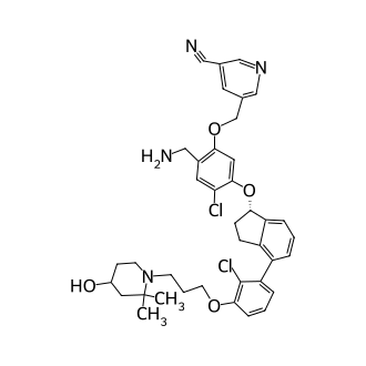 CC1(C)CC(O)CCN1CCCOc1cccc(-c2cccc3c2CC[C@@H]3Oc2cc(OCc3cncc(C#N)c3)c(CN)cc2Cl)c1Cl